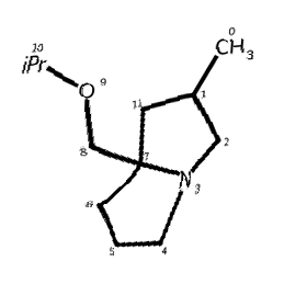 CC1CN2CCCC2(COC(C)C)C1